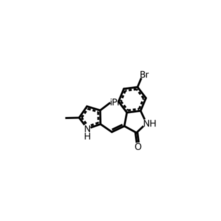 Cc1cc(C(C)C)c(C=C2C(=O)Nc3cc(Br)ccc32)[nH]1